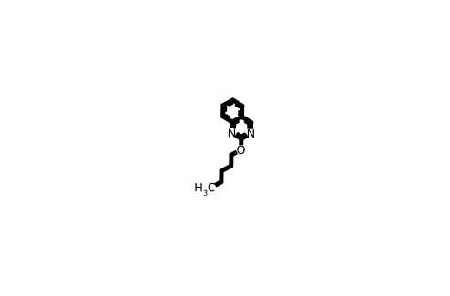 CCCCCOc1ncc2ccccc2n1